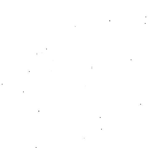 CCCN(OCCNC(=O)OC(C)(C)C)C(=O)C1=Cc2ccc(C(N)=O)cc2N=C(N)C1